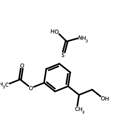 CC(=O)Oc1cccc(C(C)CO)c1.NC(O)=S